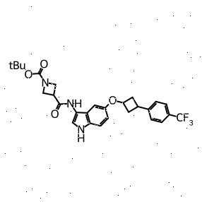 CC(C)(C)OC(=O)N1CC(C(=O)Nc2c[nH]c3ccc(OC4CC(c5ccc(C(F)(F)F)cc5)C4)cc23)C1